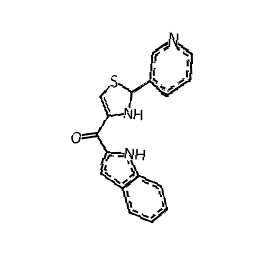 O=C(C1=CSC(c2cccnc2)N1)c1cc2ccccc2[nH]1